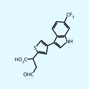 O=CCC(C(=O)O)c1cc(-c2c[nH]c3cc(C(F)(F)F)ccc23)cs1